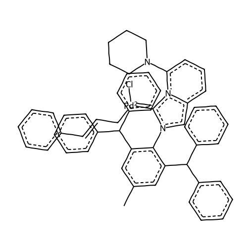 Cc1cc(C(c2ccccc2)c2ccccc2)c(-n2cc3cccc(N4CCCCC4)n3[c]2=[Pd-2]([Cl])[CH2]C=Cc2ccccc2)c(C(c2ccccc2)c2ccccc2)c1